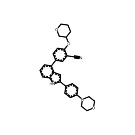 N#Cc1cc(-c2cccc3[nH]c(-c4ccc(N5CCOCC5)cc4)cc23)ccc1OC1CCCOC1